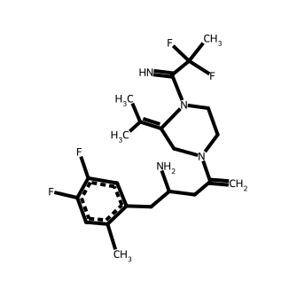 C=C(CC(N)Cc1cc(F)c(F)cc1C)N1CCN(C(=N)C(C)(F)F)C(=C(C)C)C1